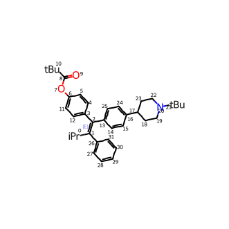 CC(C)/C(=C(\c1ccc(OC(=O)C(C)(C)C)cc1)c1ccc(C2CCN(C(C)(C)C)CC2)cc1)c1ccccc1